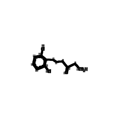 O=C(O)CC(=O)CCCc1c(Cl)cccc1Cl